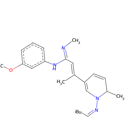 CCC(C)/C=N\N1C=C(/C(C)=C/C(=N\C)Nc2cccc(OC(F)(F)F)c2)C=CC1C